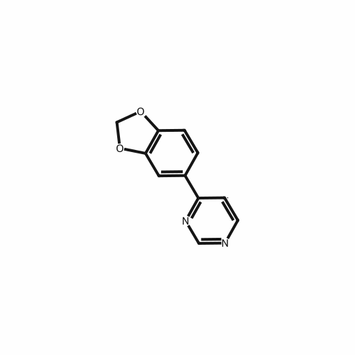 [c]1cncnc1-c1ccc2c(c1)OCO2